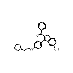 O=C(C1=C(c2ccc(OCCN3CCCC3)cc2)c2cc(O)ccc2C1)c1ccccc1